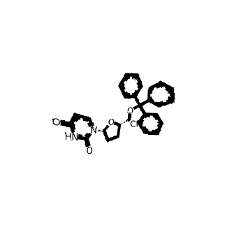 N#CC(OC(c1ccccc1)(c1ccccc1)c1ccccc1)[C@@H]1CC[C@H](n2ccc(=O)[nH]c2=O)O1